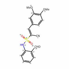 COc1ccc(/C=C(\C#N)S(=O)(=O)Nc2ccccc2C=O)cc1OC